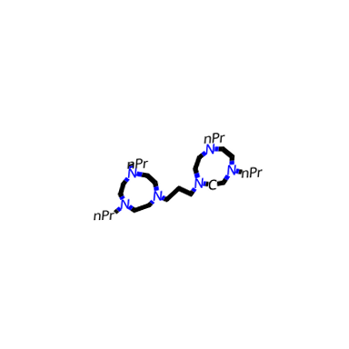 CCCN1CCN(CCC)CCN(CCCN2CCN(CCC)CCN(CCC)CC2)CC1